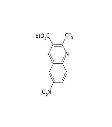 CCOC(=O)c1cc2cc([N+](=O)[O-])ccc2nc1C(F)(F)F